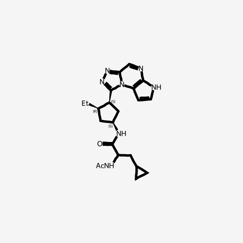 CC[C@@H]1C[C@H](NC(=O)C(CC2CC2)NC(C)=O)C[C@@H]1c1nnc2cnc3[nH]ccc3n12